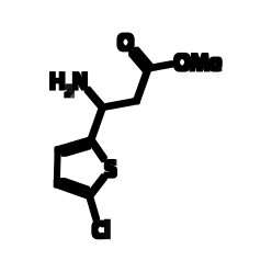 COC(=O)CC(N)c1ccc(Cl)s1